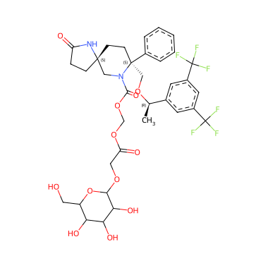 C[C@@H](OC[C@@]1(c2ccccc2)CC[C@]2(CCC(=O)N2)CN1C(=O)OCOC(=O)COC1OC(CO)C(O)C(O)C1O)c1cc(C(F)(F)F)cc(C(F)(F)F)c1